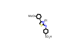 CCn1c(-c2cccc(OC)c2)cs/c1=N\c1ccc(S(=O)(=O)O)cc1